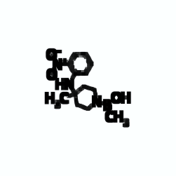 CB(O)N1CCC(C)(Nc2ccccc2[N+](=O)[O-])CC1